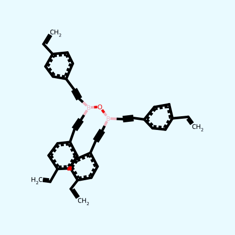 C=Cc1ccc(C#CB(C#Cc2ccc(C=C)cc2)OB(C#Cc2ccc(C=C)cc2)C#Cc2ccc(C=C)cc2)cc1